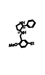 CCc1ccc(OC)c(CN[C@H]2CCN[C@H]2c2ccccc2)c1